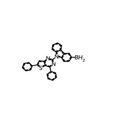 Bc1ccc2c(c1)c1ccccc1n2-c1nc(-c2ccccc2)c2sc(-c3ccccc3)cc2n1